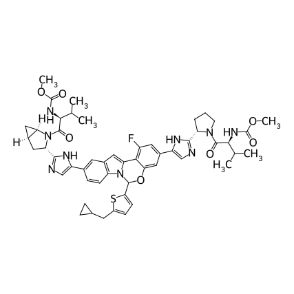 COC(=O)N[C@H](C(=O)N1CCC[C@H]1c1ncc(-c2cc(F)c3c(c2)OC(c2ccc(CC4CC4)s2)n2c-3cc3cc(-c4cnc([C@@H]5C[C@H]6C[C@H]6N5C(=O)[C@@H](NC(=O)OC)C(C)C)[nH]4)ccc32)[nH]1)C(C)C